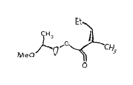 CCC=C(C)C(=O)OOC(C)OC